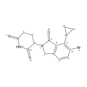 O=C1CCC(N2Cc3ccc(Br)c(C4CC4)c3C2=O)C(=O)N1